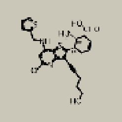 N[C@@H]1CC=CC[C@H]1c1sc2c(NCc3cccs3)cc(Cl)nc2c1C#CCCCO.O=CO